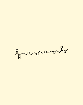 COC(=O)CCOCCOCCOCCOCCNC(C)=O